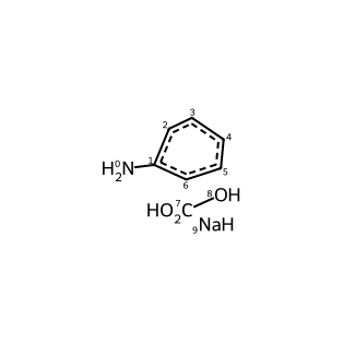 Nc1ccccc1.O=C(O)O.[NaH]